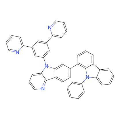 c1ccc(-n2c3ccccc3c3cccc(-c4ccc5c6ncccc6n(-c6cc(-c7ccccn7)cc(-c7ccccn7)c6)c5c4)c32)cc1